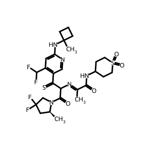 C/C(=N\C(C(=O)N1CC(F)(F)C[C@@H]1C)C(=S)c1cnc(NC2(C)CCC2)cc1C(F)F)C(=O)NC1CCS(=O)(=O)CC1